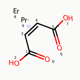 O=C(O)/C=C\C(=O)O.[Er].[Pr]